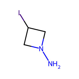 NN1CC(I)C1